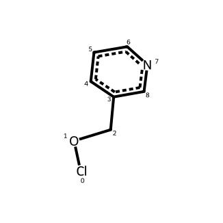 ClOCc1cccnc1